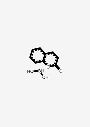 O=c1ccc2ccccc2o1.OBO